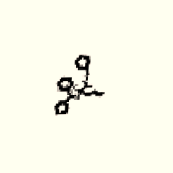 CC=CCC(N=C(c1ccccc1)c1ccccc1)(C(=O)O)C(C)OCc1ccccc1